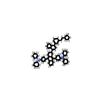 C(=C\c1cccc(-c2ccc(-c3ccc4c(-c5ccc(N(c6ccccc6)c6ccccc6)cc5)c5ccccc5c(-c5ccc(N(c6ccccc6)c6ccccc6)cc5)c4c3)c3ccccc23)c1)/c1ccccc1